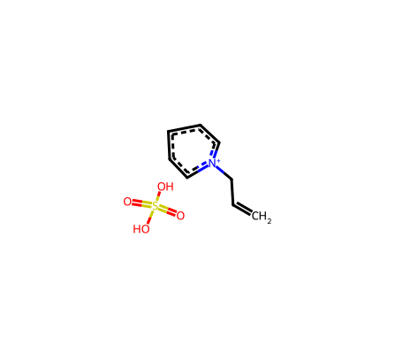 C=CC[n+]1ccccc1.O=S(=O)(O)O